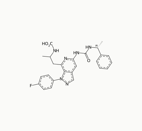 CC(Cc1nc(NC(=O)N[C@H](C)c2ccccc2)cc2cnn(-c3ccc(F)cc3)c12)NC(=O)O